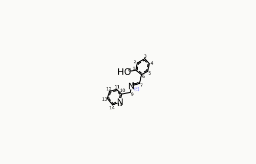 Oc1ccccc1/C=N/Cc1ccccn1